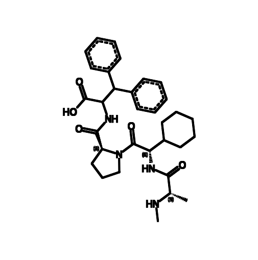 CN[C@@H](C)C(=O)N[C@H](C(=O)N1CCC[C@H]1C(=O)NC(C(=O)O)C(c1ccccc1)c1ccccc1)C1CCCCC1